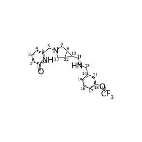 O=c1cccc(CN2CC3C(CNCc4cccc(OC(F)(F)F)c4)C3C2)[nH]1